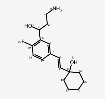 NCCC(O)c1cc(/C=C/C2(O)CCCCC2)ccc1F